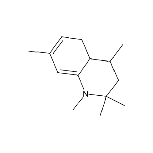 CC1=CCC2C(=C1)N(C)C(C)(C)CC2C